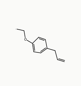 [CH2]COc1ccc(CC=C)cc1